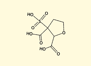 O=C(O)C1OCCC1(C(=O)O)S(=O)(=O)O